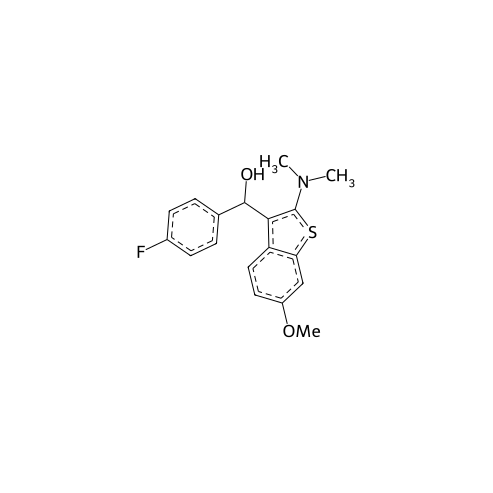 COc1ccc2c(C(O)c3ccc(F)cc3)c(N(C)C)sc2c1